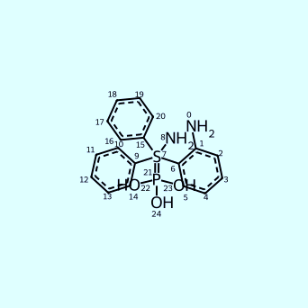 Nc1ccccc1S(N)(c1ccccc1)(c1ccccc1)=P(O)(O)O